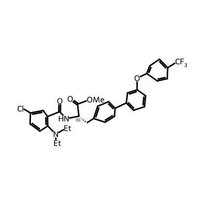 CCN(CC)c1ccc(Cl)cc1C(=O)N[C@@H](Cc1ccc(-c2cccc(Oc3ccc(C(F)(F)F)cc3)c2)cc1)C(=O)OC